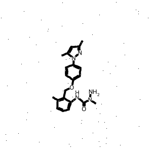 Cc1cc(C)n(-c2ccc(OCc3c(C)cccc3NC(=O)N(C)N)cc2)n1